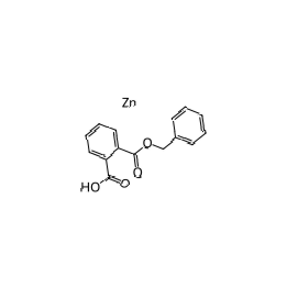 O=C(O)c1ccccc1C(=O)OCc1ccccc1.[Zn]